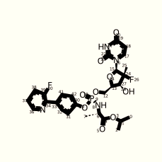 CC(C)OC(=O)[C@H](C)NP(=O)(OC[C@H]1O[C@@H](n2ccc(=O)[nH]c2=O)[C@](C)(F)[C@@H]1O)Oc1ccc(-c2ncccc2F)cc1